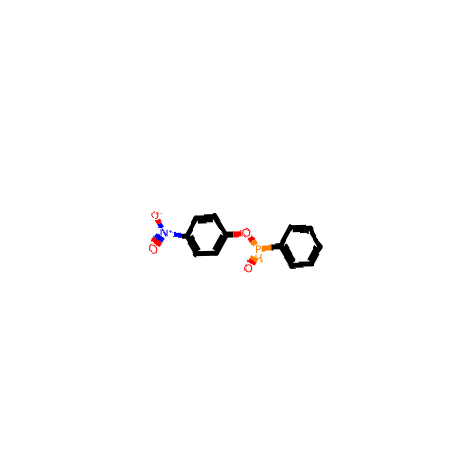 O=[N+]([O-])c1ccc(O[PH](=O)c2ccccc2)cc1